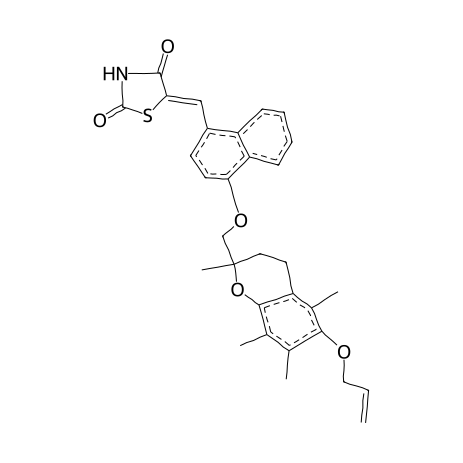 C=CCOc1c(C)c(C)c2c(c1C)CCC(C)(COc1ccc(/C=C3\SC(=O)NC3=O)c3ccccc13)O2